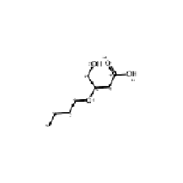 CCCCOC(CO)CC(=O)O